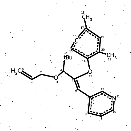 C=CCOC(C(=Cc1cccnc1)Oc1ccc(C)cc1C)C(C)(C)C